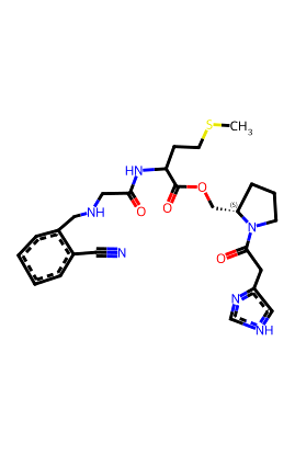 CSCCC(NC(=O)CNCc1ccccc1C#N)C(=O)OC[C@@H]1CCCN1C(=O)Cc1c[nH]cn1